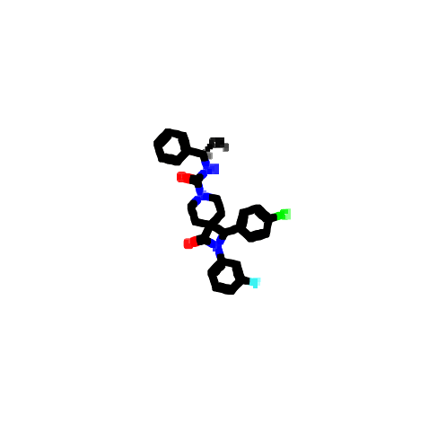 C[C@H](NC(=O)N1CCC2(CC1)C(=O)N(c1cccc(F)c1)C2c1ccc(Cl)cc1)c1ccccc1